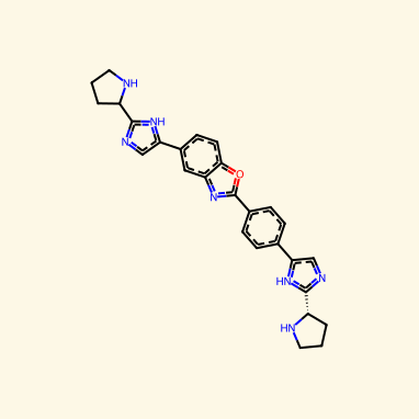 c1cc2oc(-c3ccc(-c4cnc([C@@H]5CCCN5)[nH]4)cc3)nc2cc1-c1cnc(C2CCCN2)[nH]1